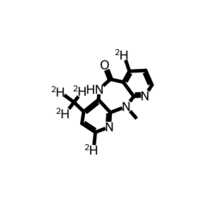 [2H]c1cc(C([2H])([2H])[2H])c2c(n1)N(C)c1nccc([2H])c1C(=O)N2